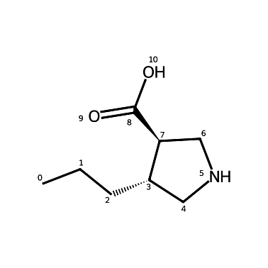 CCC[C@H]1CNC[C@@H]1C(=O)O